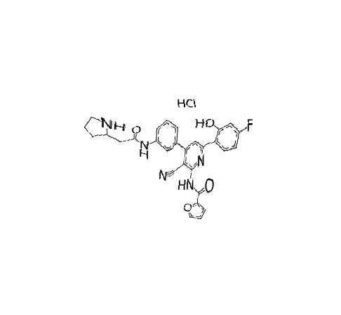 Cl.N#Cc1c(-c2cccc(NC(=O)CC3CCCN3)c2)cc(-c2ccc(F)cc2O)nc1NC(=O)c1ccco1